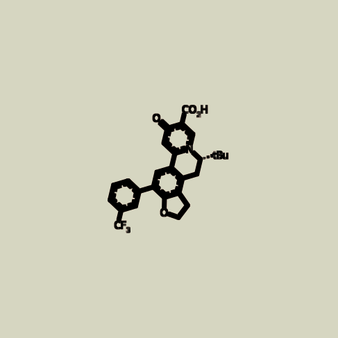 CC(C)(C)[C@@H]1Cc2c(cc(-c3cccc(C(F)(F)F)c3)c3c2CCO3)-c2cc(=O)c(C(=O)O)cn21